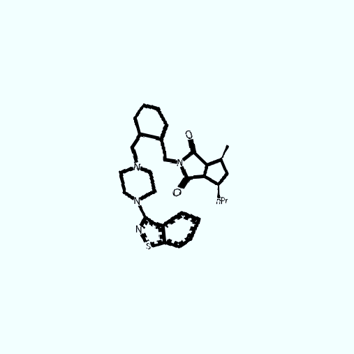 CCC[C@@H]1C[C@H](C)C2C(=O)N(CC3CCCCC3CN3CCN(c4nsc5ccccc45)CC3)C(=O)C21